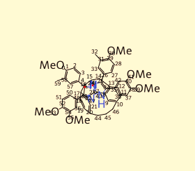 COc1ccc(C2=NC(c3cc4ccc3CCCc3ccc(cc3-c3nc(-c5ccc(OC)c(C)c5)c(-c5ccc(OC)c(OC)c5)[nH]3)CCC4)N=C2c2ccc(OC)c(OC)c2)cc1C